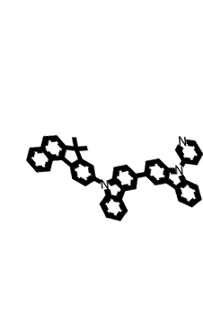 CC1(C)c2cc(-n3c4ccccc4c4cc(-c5ccc6c(c5)c5ccccc5n6-c5cccnc5)ccc43)ccc2-c2c1ccc1ccccc21